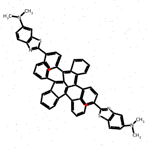 CN(C)c1ccc2sc(-c3ccc(-c4c5ccccc5c(-c5ccc(-c6nc7ccc(N(C)C)cc7s6)cc5)c5c(-c6ccccc6)c6ccccc6c(-c6ccccc6)c45)cc3)nc2c1